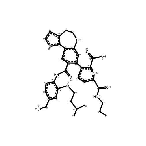 CCCNC(=O)c1ccc(-c2cc3c(cc2C(=O)Nc2ccc(CN)cc2OCCC(C)C)-c2sccc2CCO3)c(C(=O)O)n1